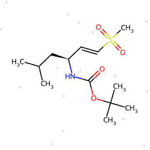 CC(C)C[C@@H](/C=C/S(C)(=O)=O)NC(=O)OC(C)(C)C